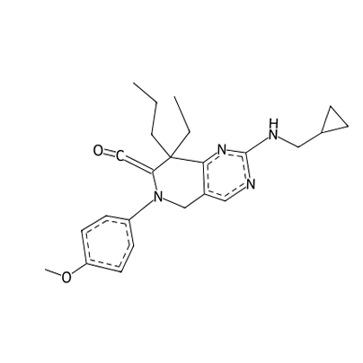 CCCC1(CC)C(=C=O)N(c2ccc(OC)cc2)Cc2cnc(NCC3CC3)nc21